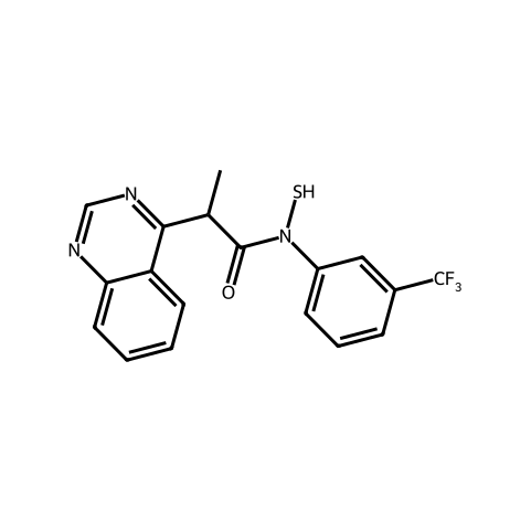 CC(C(=O)N(S)c1cccc(C(F)(F)F)c1)c1ncnc2ccccc12